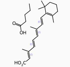 CC1=C(/C=C/C(C)=C/C=C/C(C)=C/C(=O)O)C(C)(C)CCC1.CCCCC(=O)O